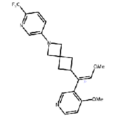 CO/C=C(/c1cnccc1OC)C1CC2(C1)CN(c1ccc(C(F)(F)F)nc1)C2